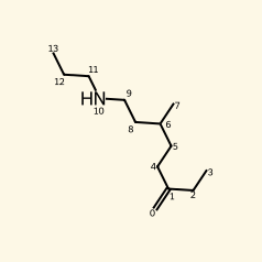 C=C(CC)CCC(C)CCNCCC